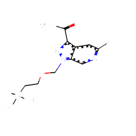 COC(=O)c1nn(COCC[Si](C)(C)C)c2cnc(C)cc12